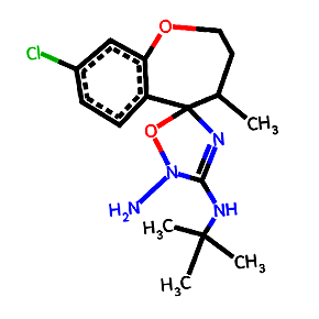 CC1CCOc2cc(Cl)ccc2C12N=C(NC(C)(C)C)N(N)O2